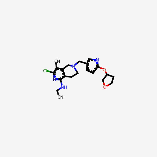 N#CCNc1nc(Cl)c(C#N)c2c1CCN(Cc1ccc(OC3CCOC3)nc1)C2